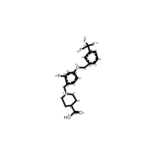 O=C(O)C1CCN(Cc2ccc(OCc3cccc(C(F)(F)F)c3)cc2F)CC1